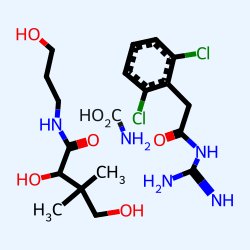 CC(C)(CO)C(O)C(=O)NCCCO.N=C(N)NC(=O)Cc1c(Cl)cccc1Cl.NC(=O)O